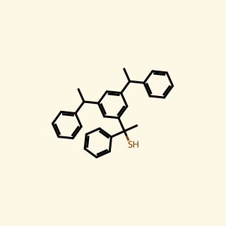 CC(c1ccccc1)c1cc(C(C)c2ccccc2)cc(C(C)(S)c2ccccc2)c1